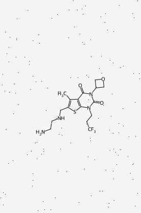 Cc1c(CNCCN)sc2c1c(=O)n(C1COC1)c(=O)n2CCC(F)(F)F